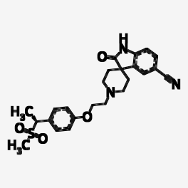 C[C@@H](c1ccc(OCCN2CCC3(CC2)C(=O)Nc2ccc(C#N)cc23)cc1)S(C)(=O)=O